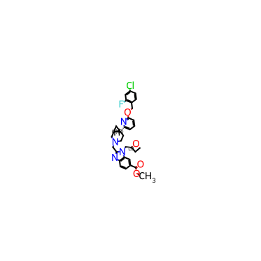 COC(=O)c1ccc2nc(CN3CC[C@]4(c5cccc(OCc6ccc(Cl)cc6F)n5)C[C@@H]4C3)n(C[C@@H]3CCO3)c2c1